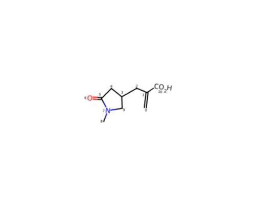 C=C(CC1CC(=O)N(C)C1)C(=O)O